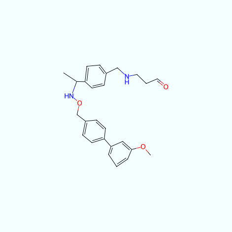 COc1cccc(-c2ccc(CONC(C)c3ccc(CNCCC=O)cc3)cc2)c1